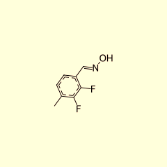 Cc1ccc(/C=N/O)c(F)c1F